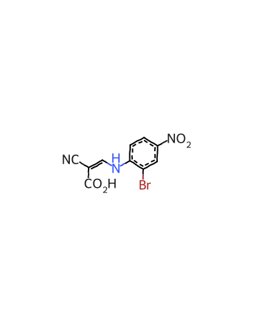 N#CC(=CNc1ccc([N+](=O)[O-])cc1Br)C(=O)O